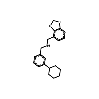 c1cc(CNCc2cccc3c2OCO3)cc(C2CCCCC2)c1